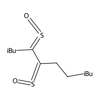 CCC(C)CCC(=S=O)C(=S=O)C(C)CC